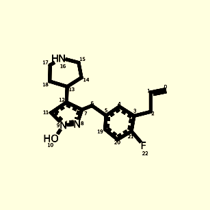 C=CCc1cc(Cc2nn(O)cc2C2CCNCC2)ccc1F